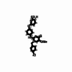 COc1cn(Cc2ccc(Cl)cc2)c(Nc2ccc(Oc3cccc(C(=O)O)n3)cc2)nc1=O